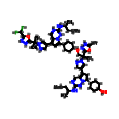 COC[C@H](C)Nc1ncc2c(-c3cnn(C(C)(CO[C@H]4CC[C@H](c5cc(-c6cnn(C(C)(C)c7nnc(C(F)F)o7)c6)c6cnc(N[C@@H](C)COC)nn65)CC4)c4nnc(C(C)C)o4)c3)cc([C@H]3CC[C@H](O)CC3)n2n1